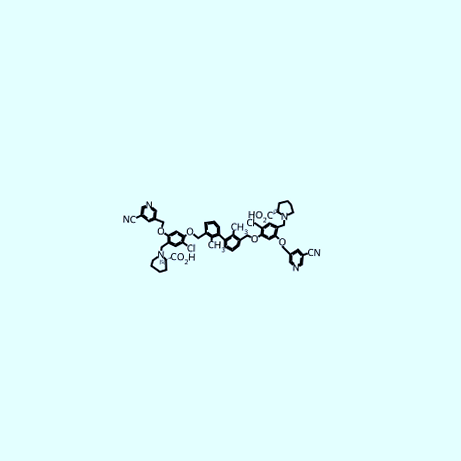 Cc1c(COc2cc(OCc3cncc(C#N)c3)c(CN3CCCC[C@H]3C(=O)O)cc2Cl)cccc1-c1cccc(COc2cc(OCc3cncc(C#N)c3)c(CN3CCCC[C@H]3C(=O)O)cc2Cl)c1C